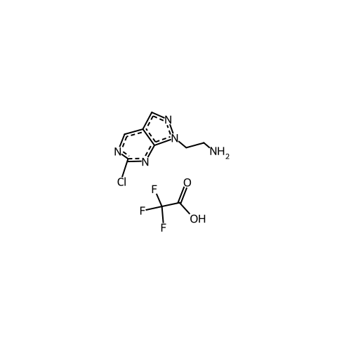 NCCn1ncc2cnc(Cl)nc21.O=C(O)C(F)(F)F